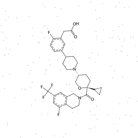 O=C(O)Cc1cc(C2CCN([C@@H]3CC[C@@](C(=O)N4CCc5c(F)cc(C(F)(F)F)cc5C4)(C4CC4)OC3)CC2)ccc1F